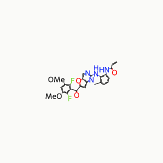 C=CC(=O)Nc1cccc(C)c1Nc1ncc2oc(C(=O)c3c(F)c(OC)cc(OC)c3F)cc2n1